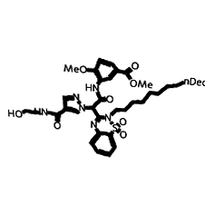 CCCCCCCCCCCCCCCCCCN1C(C(C(=O)Nc2cc(C(=O)OC)ccc2OC)n2cc(C(=O)NCCO)cn2)=Nc2ccccc2S1(=O)=O